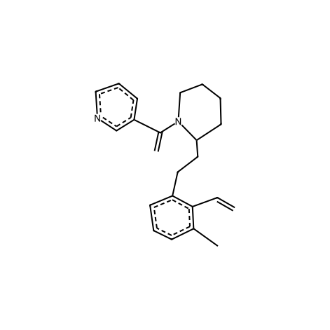 C=Cc1c(C)cccc1CCC1CCCCN1C(=C)c1cccnc1